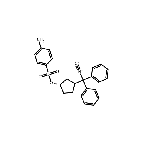 [C-]#[N+]C(c1ccccc1)(c1ccccc1)C1CC[C@H](OS(=O)(=O)c2ccc(C)cc2)C1